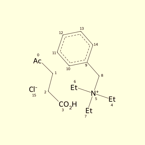 CC(=O)CCC(=O)O.CC[N+](CC)(CC)Cc1ccccc1.[Cl-]